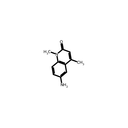 Cc1cc(=O)n(C)c2ccc(N)cc12